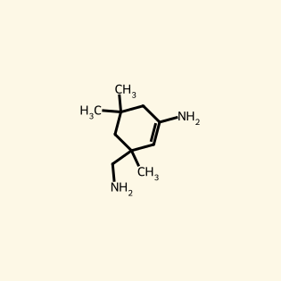 CC1(C)CC(N)=CC(C)(CN)C1